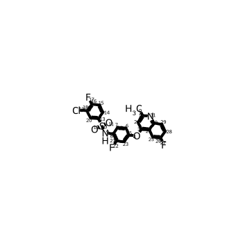 Cc1cc(Oc2ccc(NS(=O)(=O)c3ccc(F)c(Cl)c3)c(F)c2)c2cc(F)ccc2n1